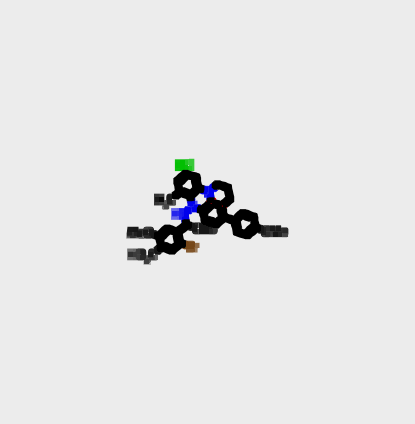 COc1ccc(-c2ccc(N(NC(C=O)c3cc(OC)c(C(=O)O)cc3Br)c3c(C)cccc3N3CCCCC3)cc2)cc1.Cl